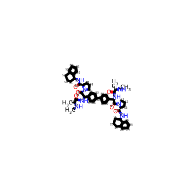 CN[C@@H](C)C(=O)NC(C(=O)N1CCC[C@H]1C(=O)NC1CCCc2ccccc21)c1ccc(-c2ccc(C(NC(=O)[C@H](C)NC)C(=O)N3CCC[C@H]3C(=O)NC3CCCc4ccccc43)cc2)cc1